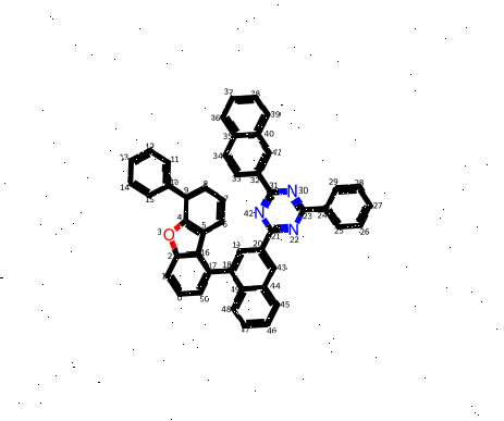 C1=CC2OC3=C(C=CCC3c3ccccc3)C2C(c2cc(-c3nc(-c4ccccc4)nc(-c4ccc5ccccc5c4)n3)cc3ccccc23)=C1